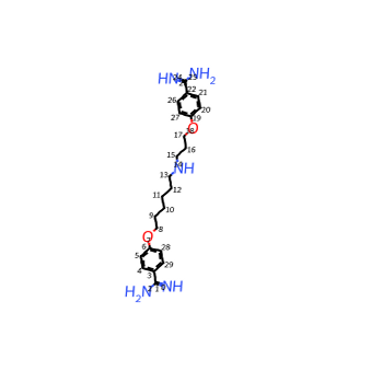 N=C(N)c1ccc(OCCCCCCNCCCOc2ccc(C(=N)N)cc2)cc1